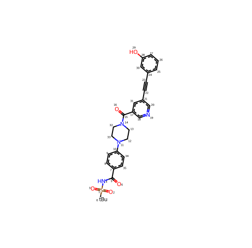 CC(C)(C)S(=O)(=O)NC(=O)c1ccc(N2CCN(C(=O)c3cncc(C#Cc4cccc(O)c4)c3)CC2)cc1